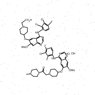 COc1cc2ncnc(Nc3ccc(F)c(Cl)c3F)c2cc1OC1CCN(CC(=O)N2CCN(C)CC2)CC1.COc1cc2ncnc(Nc3ccc(F)c(Cl)c3F)c2cc1OC1CCN(CC(=O)O)CC1.Cl.Cl